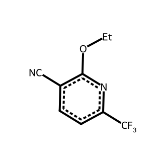 CCOc1nc(C(F)(F)F)ccc1C#N